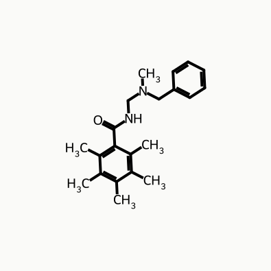 Cc1c(C)c(C)c(C(=O)NCN(C)Cc2ccccc2)c(C)c1C